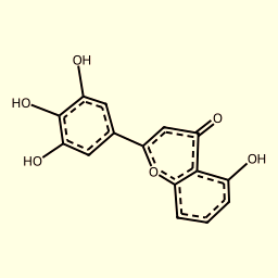 O=c1cc(-c2cc(O)c(O)c(O)c2)oc2cccc(O)c12